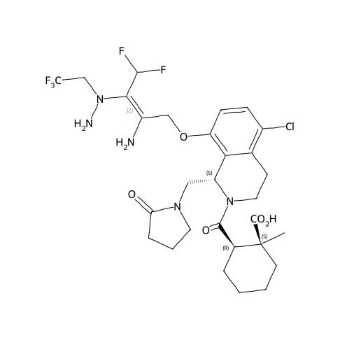 C[C@]1(C(=O)O)CCCC[C@H]1C(=O)N1CCc2c(Cl)ccc(OC/C(N)=C(\C(F)F)N(N)CC(F)(F)F)c2[C@H]1CN1CCCC1=O